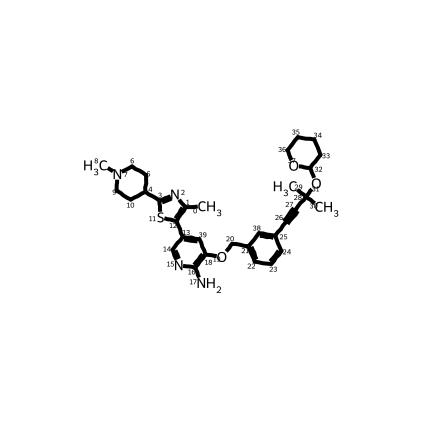 Cc1nc(C2CCN(C)CC2)sc1-c1cnc(N)c(OCc2cccc(C#CC(C)(C)OC3CCCCO3)c2)c1